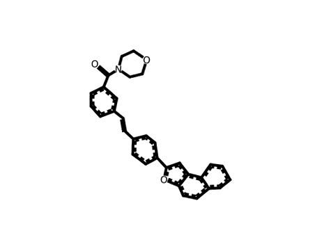 O=C(c1cccc(C=Cc2ccc(-c3cc4c(ccc5ccccc54)o3)cc2)c1)N1CCOCC1